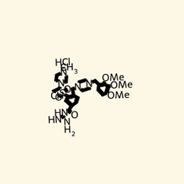 C=CC(N1CCN(C)CC1)S(=O)(=O)c1cc(C(=O)NC(=N)N)ccc1CN1CCN(Cc2ccc(OC)c(OC)c2OC)CC1.Cl